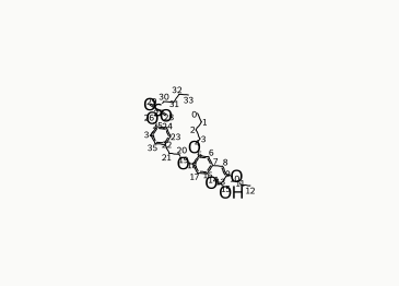 CCCCOc1cc(/C=C(/OCC)C(=O)O)ccc1OCCc1ccc(OS(=O)(=O)CCCC)cc1